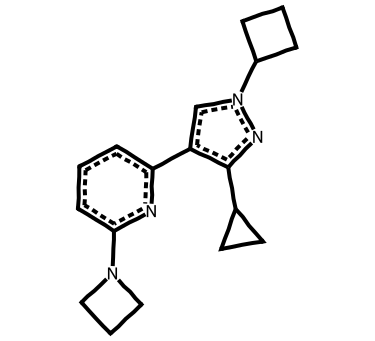 c1cc(-c2cn(C3CCC3)nc2C2CC2)nc(N2CCC2)c1